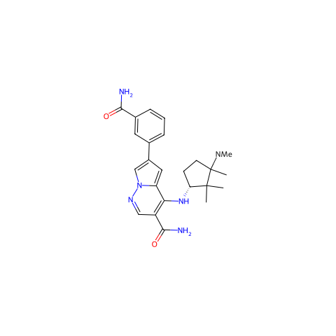 CNC1(C)CC[C@@H](Nc2c(C(N)=O)cnn3cc(-c4cccc(C(N)=O)c4)cc23)C1(C)C